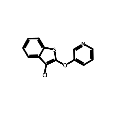 Clc1c(Oc2cccnc2)sc2ccccc12